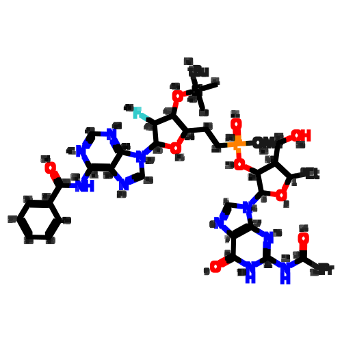 CCC1OC(n2cnc3c(=O)[nH]c(NC(=O)C(C)C)nc32)C(OP(=O)(CCC2OC(n3cnc4c(NC(=O)c5ccccc5)ncnc43)C(F)C2O[Si](C)(C)C(C)(C)C)OC)C1CO